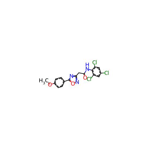 COc1ccc(-c2nc(CC(=O)Nc3c(Cl)cc(Cl)cc3Cl)no2)cc1